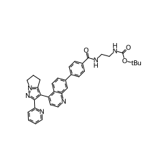 CC(C)(C)OC(=O)NCCNC(=O)c1ccc(-c2ccc3c(-c4c(-c5ccccn5)nn5c4CCC5)ccnc3c2)cc1